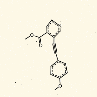 COC(=O)c1ccncc1C#Cc1ccc(OC)cc1